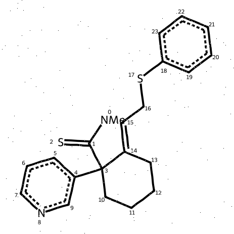 CNC(=S)C1(c2cccnc2)CCCCC1=CCSc1ccccc1